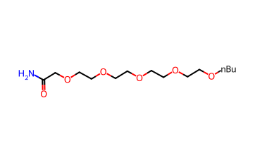 CCCCOCCOCCOCCOCCOCC(N)=O